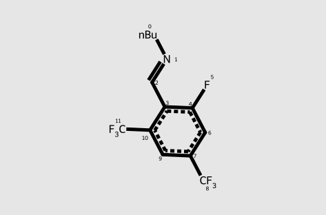 CCCCN=Cc1c(F)cc(C(F)(F)F)cc1C(F)(F)F